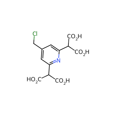 O=C(O)C(C(=O)O)c1cc(CCl)cc(C(C(=O)O)C(=O)O)n1